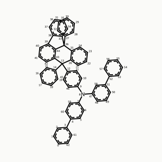 c1ccc(-c2ccc(N(c3ccc(C4(c5ccccc5)c5ccccc5C5(c6ccccc6)c6ccccc6-c6cccc4c65)cc3)c3cccc(-c4ccccc4)c3)cc2)cc1